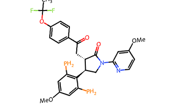 COc1ccnc(N2C[C@@H](c3c(P)cc(OC)cc3P)[C@H](CC(=O)c3ccc(OC(C)(F)F)cc3)C2=O)c1